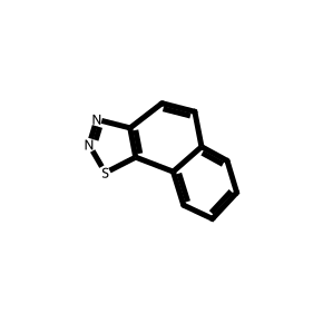 c1ccc2c(c1)ccc1nnsc12